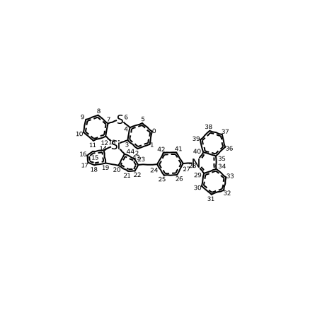 c1ccc2c(c1)Sc1ccccc1[Si]21c2ccccc2-c2ccc(-c3ccc(-n4c5ccccc5c5ccccc54)cc3)cc21